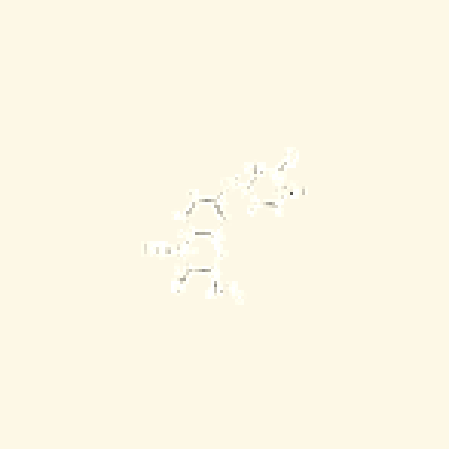 NC1Cc2cc(Oc3cc[nH]c(=O)n3)ccc2N(O)C1=O